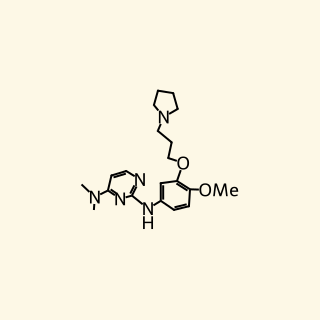 COc1ccc(Nc2nccc(N(C)C)n2)cc1OCCCN1CCCC1